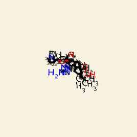 CC(C)[C@@H](C)[C@@]1(C)CC[C@]2(C)[C@H]3CC[C@@H]4[C@@]5(COC[C@@]4(C)[C@@H](OCC4CCCN4C)[C@H](n4nnc(N)n4)C5)C3=CC[C@@]2(C)[C@@H]1C(=O)O